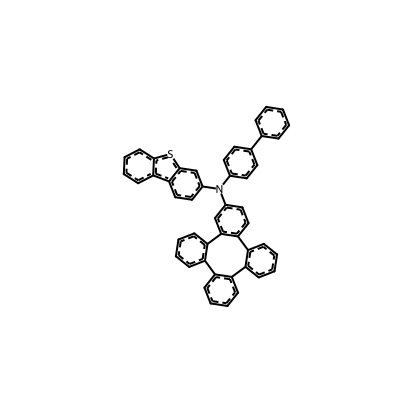 c1ccc(-c2ccc(N(c3ccc4c(c3)-c3ccccc3-c3ccccc3-c3ccccc3-4)c3ccc4c(c3)sc3ccccc34)cc2)cc1